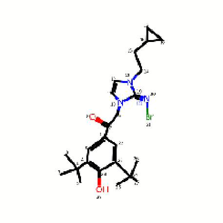 CC(C)(C)c1cc(C(=O)Cn2ccn(CCC3CC3)/c2=N/Br)cc(C(C)(C)C)c1O